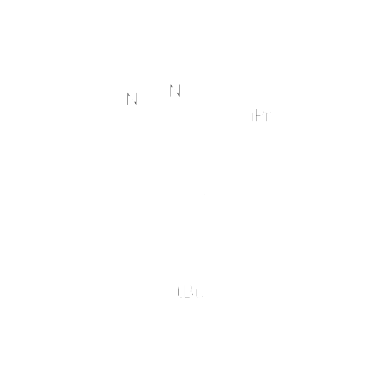 CC(C)c1nn(C)c2ccc(C(C)(C)C)cc12